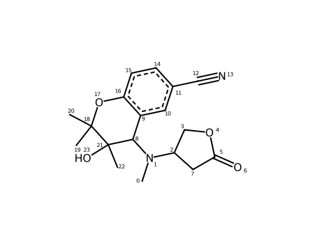 CN(C1COC(=O)C1)C1c2cc(C#N)ccc2OC(C)(C)C1(C)O